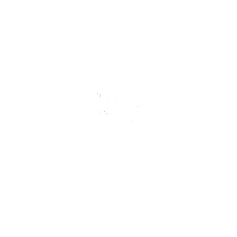 CC1(C(C)(C)c2ccccc2)C=CC=C(NC(N)=O)C1